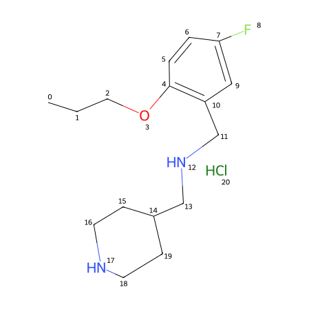 CCCOc1ccc(F)cc1CNCC1CCNCC1.Cl